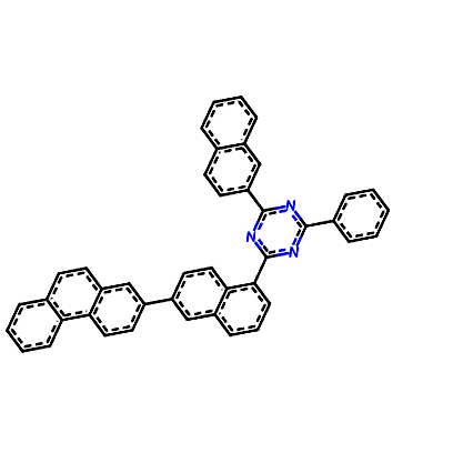 c1ccc(-c2nc(-c3ccc4ccccc4c3)nc(-c3cccc4cc(-c5ccc6c(ccc7ccccc76)c5)ccc34)n2)cc1